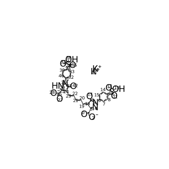 O=C([O-])C1=NN(c2ccc(S(=O)(=O)O)cc2)C(=O)\C1=C/C=C/C=C/c1c(C(=O)[O-])[nH]n(-c2ccc(S(=O)(=O)O)cc2)c1=O.[K+].[K+]